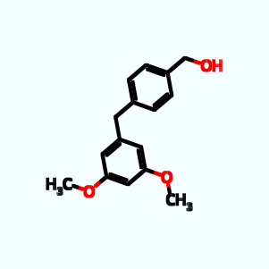 COc1cc(Cc2ccc(CO)cc2)cc(OC)c1